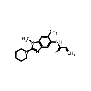 C=CC(=O)Nc1cc2nc(N3CCCCC3)n(C)c2cc1C